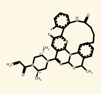 C=CC(=O)N1C[C@H](C)N(C2=NC3OC(C)c4cccc5c4N3c3nc(c(F)cc32)-c2c(F)cccc2NC(=O)CCC5)C[C@H]1C